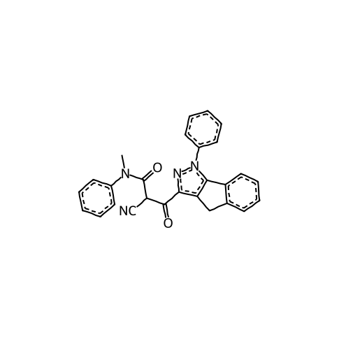 CN(C(=O)C(C#N)C(=O)c1nn(-c2ccccc2)c2c1Cc1ccccc1-2)c1ccccc1